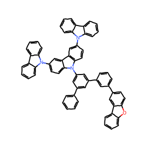 c1ccc(-c2cc(-c3cccc(-c4ccc5oc6ccccc6c5c4)c3)cc(-n3c4ccc(-n5c6ccccc6c6ccccc65)cc4c4cc(-n5c6ccccc6c6ccccc65)ccc43)c2)cc1